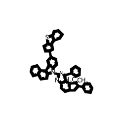 CC1(C)C(c2ccccc2)=Cc2ccc3nc(-n4c5ccc(-c6ccc7sc8ccccc8c7c6)cc5c5c6ccccc6ccc54)nc(-c4ccccc4)c3c21